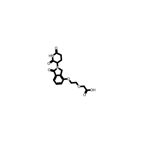 O=C(O)COCCOc1cccc2c1CN(C1CCC(=O)NC1=O)C2=O